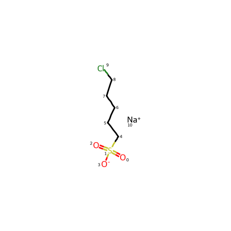 O=S(=O)([O-])CCCCCCl.[Na+]